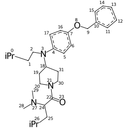 CC(C)CCN(c1ccc(OCc2ccccc2)cc1)C1CCN(C(=O)C(CC(C)C)N(C)C)CC1